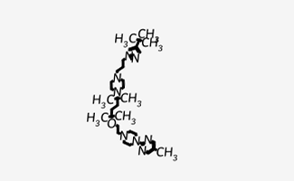 Cc1cnc(N2CCN(CCOC(C)(C)CCC(C)(C)N3CCN(CCCn4cc(C(C)(C)C)cn4)CC3)CC2)nc1